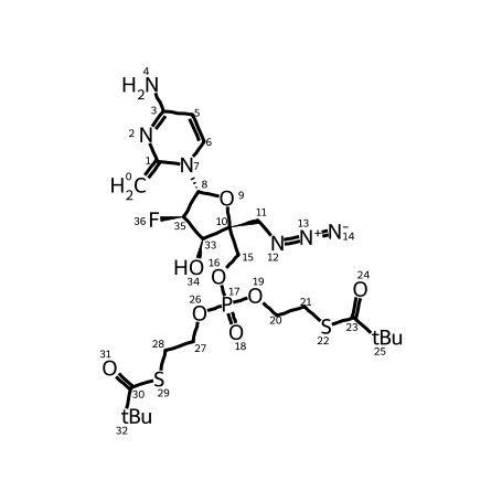 C=C1N=C(N)C=CN1[C@@H]1O[C@](CN=[N+]=[N-])(COP(=O)(OCCSC(=O)C(C)(C)C)OCCSC(=O)C(C)(C)C)[C@@H](O)[C@H]1F